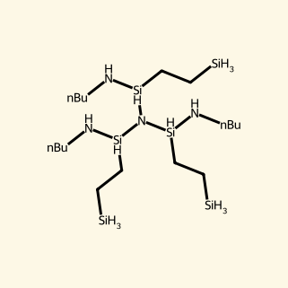 CCCCN[SiH](CC[SiH3])N([SiH](CC[SiH3])NCCCC)[SiH](CC[SiH3])NCCCC